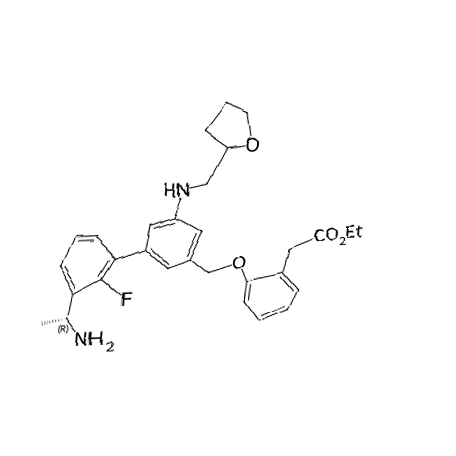 CCOC(=O)Cc1ccccc1OCc1cc(NCC2CCCO2)cc(-c2cccc([C@@H](C)N)c2F)c1